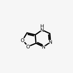 C1=NN=C2OOC=C2N1